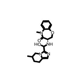 CC1CCc2cnc(C(O)N[C@H]3COc4ccccc4N(C)C3=O)n2C1